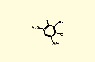 CCC(C)c1c(Cl)c(OC)cc(OC)c1Cl